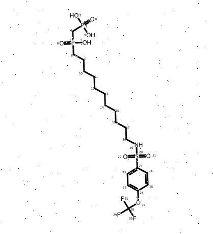 O=P(O)(O)CP(=O)(O)CCCCCCCCCCCNS(=O)(=O)c1ccc(OC(F)(F)F)cc1